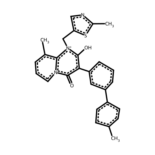 Cc1ccc(-c2cccc(-c3c(O)[n+](Cc4cnc(C)s4)c4c(C)cccn4c3=O)c2)cc1